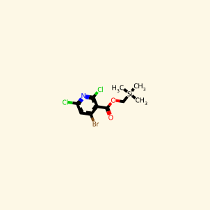 C[Si](C)(C)COC(=O)c1c(Br)cc(Cl)nc1Cl